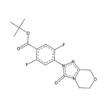 CC(C)(C)OC(=O)c1cc(F)c(-n2nc3n(c2=O)CCOC3)cc1F